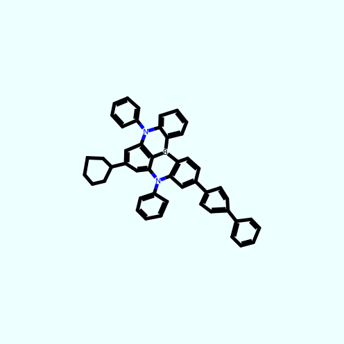 c1ccc(-c2ccc(-c3ccc4c(c3)N(c3ccccc3)c3cc(C5CCCCC5)cc5c3B4c3ccccc3N5c3ccccc3)cc2)cc1